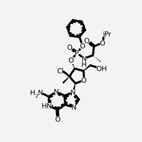 CC(C)OC(=O)[C@H](C)NP(=O)(Oc1ccccc1)O[C@@H]1[C@@H](CO)O[C@@H](n2cnc3c(=O)[nH]c(N)nc32)[C@]1(C)Cl